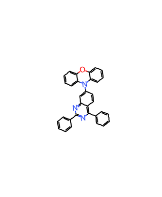 c1ccc(-c2nc(-c3ccccc3)c3ccc(N4c5ccccc5Oc5ccccc54)cc3n2)cc1